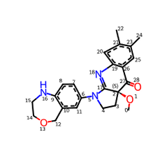 CO[C@@]12CCN(c3ccc4c(c3)COCCN4)C1=Nc1cc(C)c(C)cc1C2=O